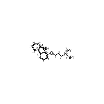 CCCN(CCC)CCCOc1cccc2c1[nH]c1ccccc12